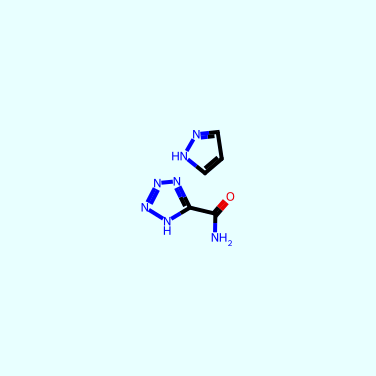 NC(=O)c1nnn[nH]1.c1cn[nH]c1